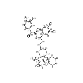 CN(C)C(=O)C1(N2CCCCC2)CCN(CCC(CN(C)C(=O)c2ccc(F)c(F)c2)c2ccc(Cl)c(Cl)c2)CC1